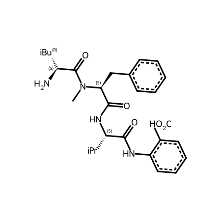 CC[C@@H](C)[C@H](N)C(=O)N(C)[C@@H](Cc1ccccc1)C(=O)N[C@H](C(=O)Nc1ccccc1C(=O)O)C(C)C